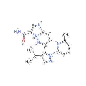 Cc1cccc(-n2ncc(C(C)C)c2-c2ccc3ncc(C(N)=O)n3n2)n1